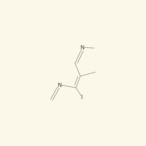 C=N/C(I)=C(C)\C=N/C